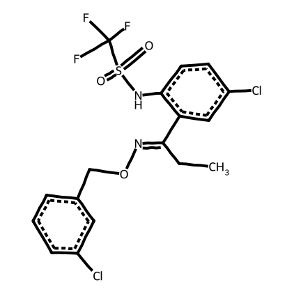 CC/C(=N\OCc1cccc(Cl)c1)c1cc(Cl)ccc1NS(=O)(=O)C(F)(F)F